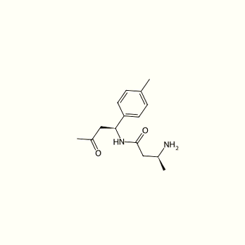 CC(=O)C[C@H](NC(=O)C[C@H](C)N)c1ccc(C)cc1